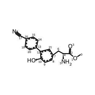 COC(=O)[C@@H](N)Cc1ccc(O)c(-c2ccc(C#N)cc2)c1